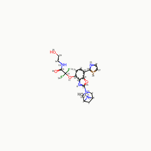 O=C(O)N1C2CC1CN(c1nc3c(OC(F)(F)C(=O)NCCO)ccc(-c4nccs4)c3o1)C2